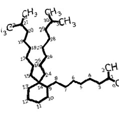 CC(C)CCCCCCC1CCCCC1(CCCCCCC(C)C)CCCCCCC(C)C